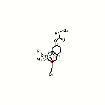 CCCCNC(=O)O[C@H]1C=C[C@@]23CCN(OCC)Cc4c(Br)cc(OC)c(c42)O[C@H]3C1